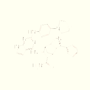 NC(=O)C1C2CC(C1Nc1nc(Nc3ccc(N4CCOCC4)cc3)nc3[nH]ccc13)C1ON=C(c3ccccc3)C21